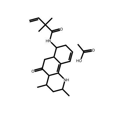 C=CC(C)(C)C(=O)NC1CC=CC2=C3NC(C)CC(C)C3C(=O)CC21.CC(=O)O